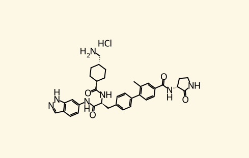 Cc1cc(C(=O)N[C@@H]2CCNC2=O)ccc1-c1ccc(C[C@H](NC(=O)[C@H]2CC[C@H](CN)CC2)C(=O)Nc2ccc3cn[nH]c3c2)cc1.Cl